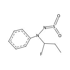 CCC(F)N(N=S(=O)=O)c1ccccc1